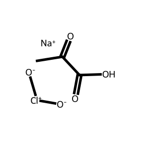 CC(=O)C(=O)O.[Na+].[O-][Cl+][O-]